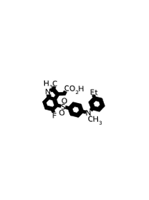 CCc1cccc(N(C)c2ccc(S(=O)(=O)C3=C4C(=NC(C)=C4CC(=O)O)CC=C3F)cc2)c1